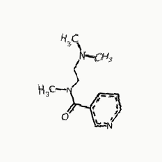 CN(C)CCN(C)C(=O)c1cccnc1